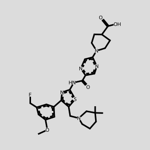 COc1cc(CF)cc(-c2nc(NC(=O)c3cnc(N4CCC(C(=O)O)CC4)cn3)sc2CN2CCCC(C)(C)C2)c1